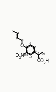 C/C=C/COc1ccc(C(C)C(=O)O)cc1[N+](=O)[O-]